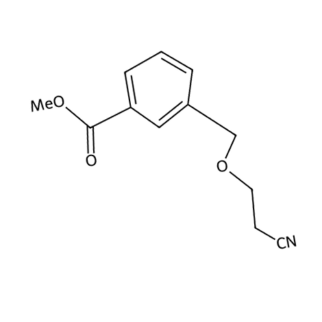 COC(=O)c1cccc(COCCC#N)c1